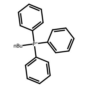 CCCC[P+](c1ccccc1)(c1ccccc1)c1ccccc1